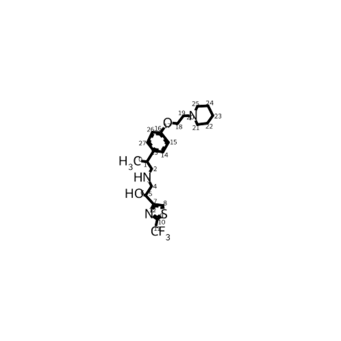 CC(CNCC(O)c1csc(C(F)(F)F)n1)c1ccc(OCCN2CCCCC2)cc1